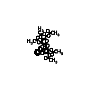 CC(=O)OC[C@H]1O[C@@H](O[C@H]2[C@H](OC(C)=O)[C@@H](OC(C)=O)C3OC[C@H]2O3)[C@@H](OCc2ccccc2)[C@@H](OC(C)=O)[C@@H]1OC(C)=O